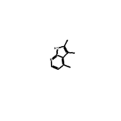 Cc1[nH]c2nccc(C)c2c1C